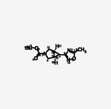 Cc1nc(C2[C@H]3CN(C(=O)OC(C)(C)C)C[C@@H]23)no1